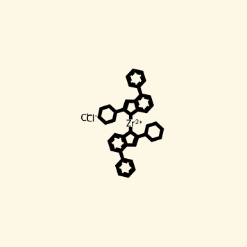 C1=C(C2CCCCC2)[CH]([Zr+2][CH]2C(C3CCCCC3)=Cc3c(-c4ccccc4)cccc32)c2cccc(-c3ccccc3)c21.[Cl-].[Cl-]